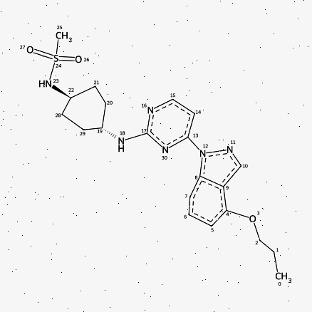 CCCOc1cccc2c1cnn2-c1ccnc(N[C@H]2CC[C@H](NS(C)(=O)=O)CC2)n1